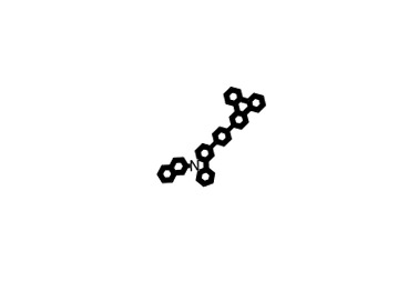 c1ccc2cc(-n3c4ccccc4c4cc(-c5ccc(-c6ccc7c8ccccc8c8ccccc8c7c6)cc5)ccc43)ccc2c1